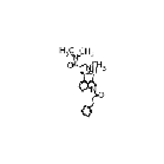 CCN(CC)C(=O)[C@@H]1C=C2c3cccc4c3c(cn4C(=O)CCc3ccccc3)C[C@H]2N(C)C1